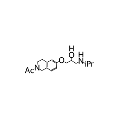 CC(=O)N1CCc2cc(OCC(O)CNC(C)C)ccc2C1